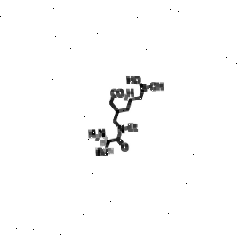 CC[C@H](C)[C@H](N)C(=O)N(CC)CC(CCCB(O)O)CC(=O)O